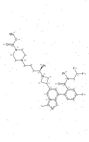 Cc1ncc2c(-c3ccc(F)cc3C(=O)N(CC(F)F)C(C)C)cc(C3CN([C@@H](CCCN4CCN(C(=O)OC(C)(C)C)CC4)C(C)C)C3)cn12